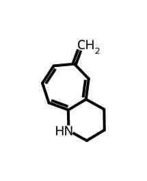 C=C1C=CC=C2NCCCC2=C1